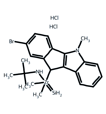 Cl.Cl.Cn1c2c(c3ccccc31)[CH]([Zr]([CH3])([CH3])(=[SiH2])[NH]C(C)(C)C)c1cc(Br)ccc1-2